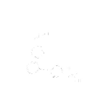 O=P(O)(O)O.O=P(O)(O)O.Oc1ccccc1.c1ccccc1.c1ccccc1